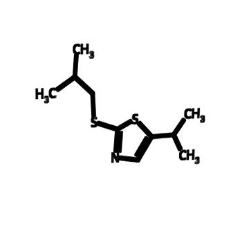 CC(C)CSc1ncc(C(C)C)s1